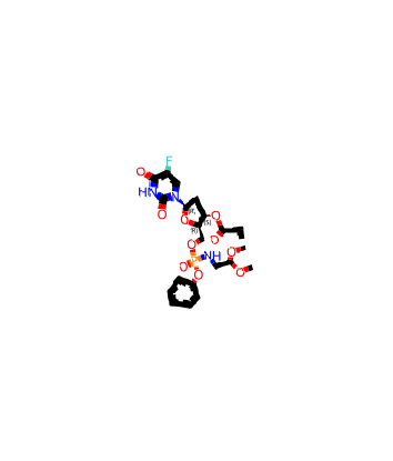 CCC(=O)O[C@H]1C[C@H](n2cc(F)c(=O)[nH]c2=O)O[C@@H]1COP(=O)(NCC(OC)OC)Oc1ccccc1